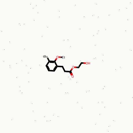 CCOc1c(CCC(=O)OCCO)cccc1C(C)(C)C